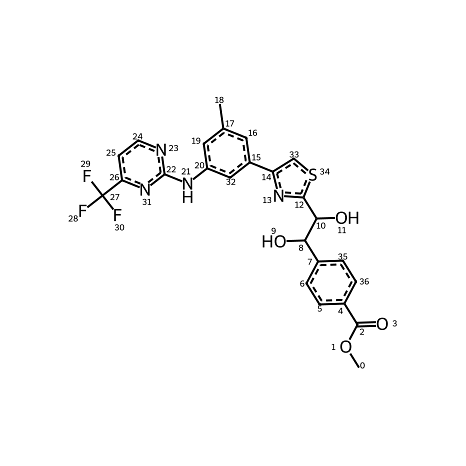 COC(=O)c1ccc(C(O)C(O)c2nc(-c3cc(C)cc(Nc4nccc(C(F)(F)F)n4)c3)cs2)cc1